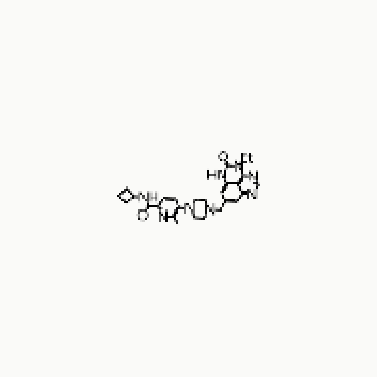 CCN1C(=O)Nc2cc(CN3CCN(c4ccc(C(=O)NC5CCC5)nc4C)CC3)cc3ncnc1c23